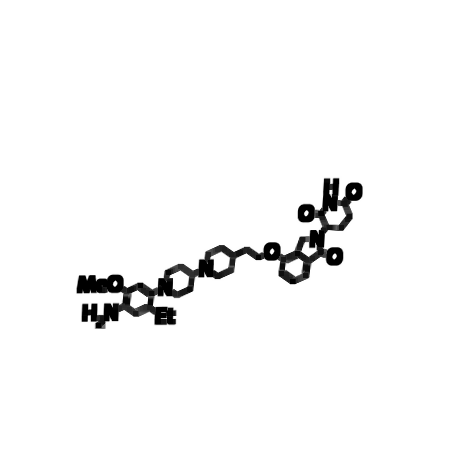 CCc1cc(N)c(OC)cc1N1CCC(N2CCC(CCOc3cccc4c3CN(C3CCC(=O)NC3=O)C4=O)CC2)CC1